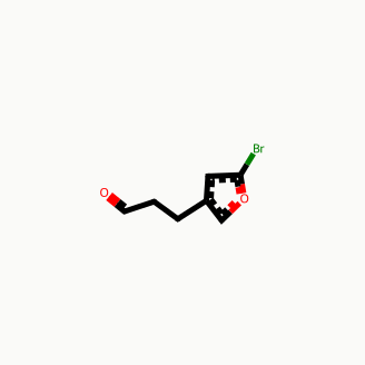 O=CCCc1coc(Br)c1